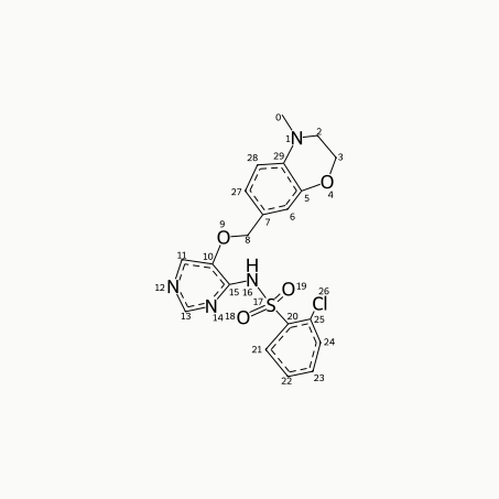 CN1CCOc2cc(COc3cncnc3NS(=O)(=O)c3ccccc3Cl)ccc21